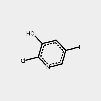 Oc1cc(I)cnc1Cl